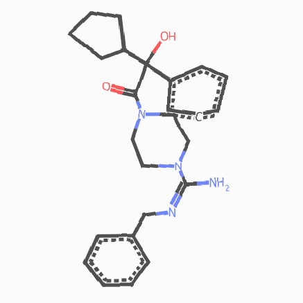 NC(=NCc1ccccc1)N1CCN(C(=O)C(O)(c2ccccc2)C2CCCC2)CC1